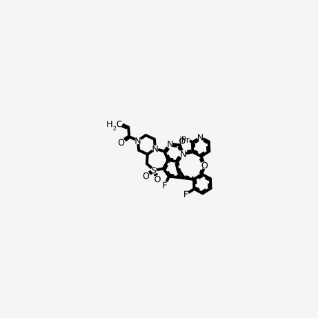 C=CC(=O)N1CCN2c3nc(=O)n4c5cc(c(F)c(c35)S(=O)(=O)CC2C1)c1c(F)cccc1oc1ccnc(C(C)C)c14